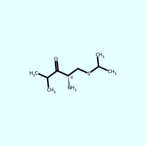 CC(C)SC[C@H](N)C(=O)C(C)C